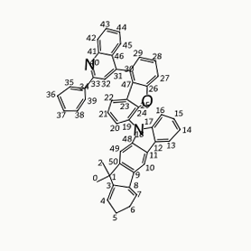 CC1(C)C2=CCCC=C2c2cc3c4ccccc4n(-c4cccc5c4oc4cccc(-c6cc(-c7ccccc7)nc7ccccc67)c45)c3cc21